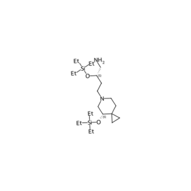 CC[Si](CC)(CC)O[C@H](CN)CCN1CCC2(CC2)[C@H](O[Si](CC)(CC)CC)C1